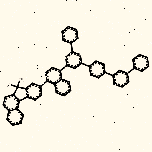 CC1(C)c2cc(-c3ccc(-c4cc(-c5ccc(-c6cccc(-c7ccccc7)c6)cc5)nc(-c5ccccc5)n4)c4ccccc34)ccc2-c2c1ccc1ccccc21